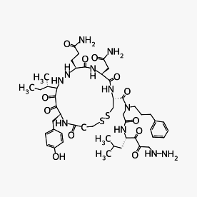 CC[C@H](C)C1NN[C@@H](CCC(N)=O)C(=O)N[C@@H](CC(N)=O)C(=O)N[C@H](C(=O)N(CCCc2ccccc2)CC(=O)N[C@@H](CC(C)C)C(=O)C(=O)CNN)CSSCCC(=O)N[C@@H](Cc2ccc(O)cc2)C(=O)C1=O